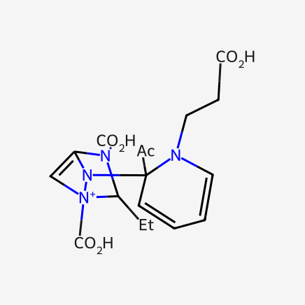 CCC1N(C(=O)O)C2=C[N+]1(C(=O)O)N2C1(C(C)=O)C=CC=CN1CCC(=O)O